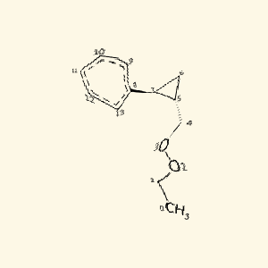 CCOOC[C@H]1C[C@@H]1c1ccccc1